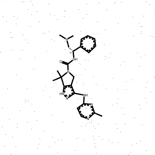 Cc1nccc(Nc2n[nH]c3c2CN(C(=O)N[C@H](CN(C)C)c2ccccc2)C3(C)C)n1